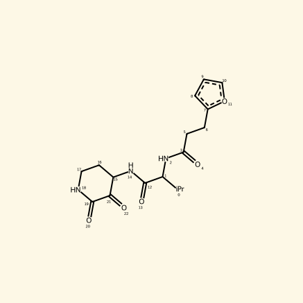 CC(C)C(NC(=O)CCc1ccco1)C(=O)NC1CCNC(=O)C1=O